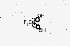 O=C(N1CCc2cc(O)ccc2[C@H]1c1ccc(O)cc1)C(F)(F)F